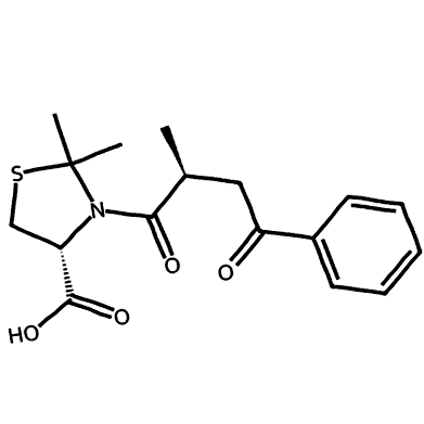 C[C@@H](CC(=O)c1ccccc1)C(=O)N1[C@H](C(=O)O)CSC1(C)C